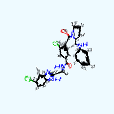 C[C@H](NC(=O)c1ccc(C(=O)N2CCC[C@H]2CNc2ccccc2)c(Cl)c1)c1nc2cc(Cl)ccc2[nH]1